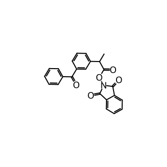 CC(C(=O)ON1C(=O)c2ccccc2C1=O)c1cccc(C(=O)c2ccccc2)c1